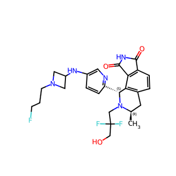 C[C@@H]1Cc2ccc3c(c2[C@@H](c2ccc(NC4CN(CCCF)C4)cn2)N1CC(F)(F)CO)C(=O)NC3=O